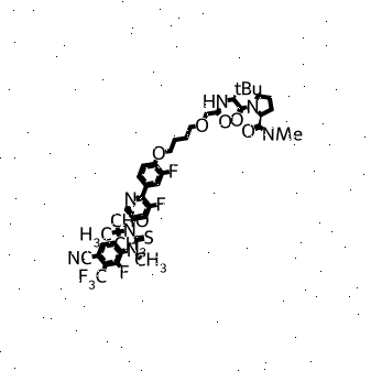 CNC(=O)[C@@H]1CCCN1C(=O)[C@@H](NC(=O)COCCCCOc1ccc(-c2ncc(N(C(=S)N(C)c3ccc(C#N)c(C(F)(F)F)c3F)C(C)(C)C=O)cc2F)cc1F)C(C)(C)C